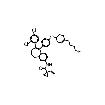 C=CC1(C(=O)Nc2ccc3c(c2)CCCC(c2ccc(Cl)cc2Cl)=C3c2ccc(O[C@@H]3CC=C(CCCCF)CC3)cc2)CC1